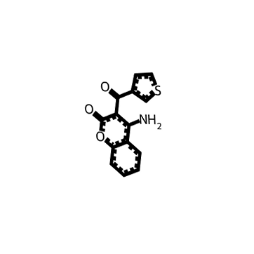 Nc1c(C(=O)c2ccsc2)c(=O)oc2ccccc12